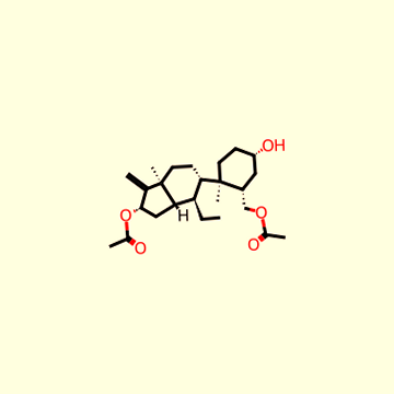 C=C1[C@@H](OC(C)=O)C[C@H]2[C@H](CC)[C@@H]([C@@]3(C)CC[C@H](O)C[C@@H]3COC(C)=O)CC[C@]12C